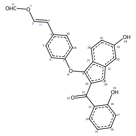 O=CO/C=C/c1ccc(Oc2c(C(=O)c3ccccc3O)sc3cc(O)ccc23)cc1